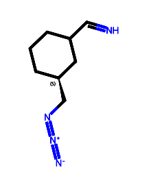 [N-]=[N+]=NC[C@H]1CCCC(C=N)C1